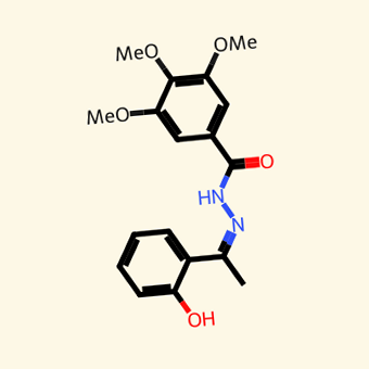 COc1cc(C(=O)NN=C(C)c2ccccc2O)cc(OC)c1OC